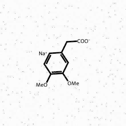 COc1ccc(CC(=O)[O-])cc1OC.[Na+]